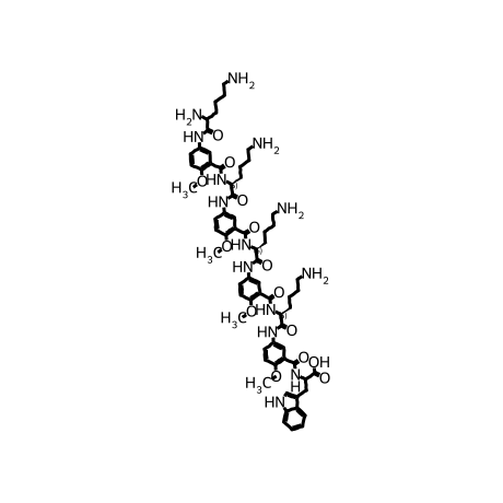 COc1ccc(NC(=O)[C@H](CCCCN)NC(=O)c2cc(NC(=O)[C@H](CCCCN)NC(=O)c3cc(NC(=O)[C@H](CCCCN)NC(=O)c4cc(NC(=O)C(N)CCCCN)ccc4OC)ccc3OC)ccc2OC)cc1C(=O)NC(Cc1c[nH]c2ccccc12)C(=O)O